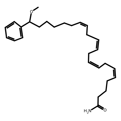 COC(CCCCC/C=C\C/C=C\C/C=C\C/C=C\CCCC(N)=O)c1ccccc1